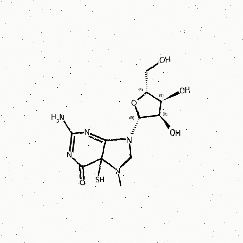 CN1CN([C@@H]2O[C@H](CO)[C@@H](O)[C@H]2O)C2=NC(N)=NC(=O)C21S